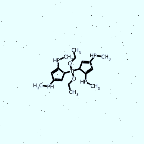 CC[O][Ti]([O]CC)([CH]1C=C(PC)C=C1PC)[CH]1C=C(PC)C=C1PC